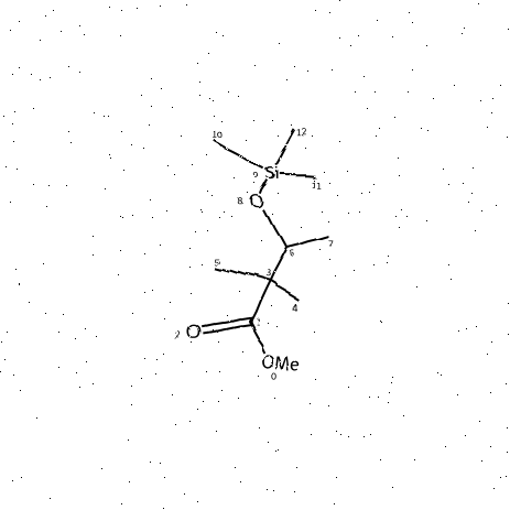 COC(=O)C(C)(C)C(C)O[Si](C)(C)C